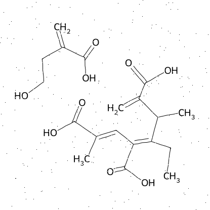 C=C(C(=O)O)C(C)C(CC)=C(C=C(C)C(=O)O)C(=O)O.C=C(CCO)C(=O)O